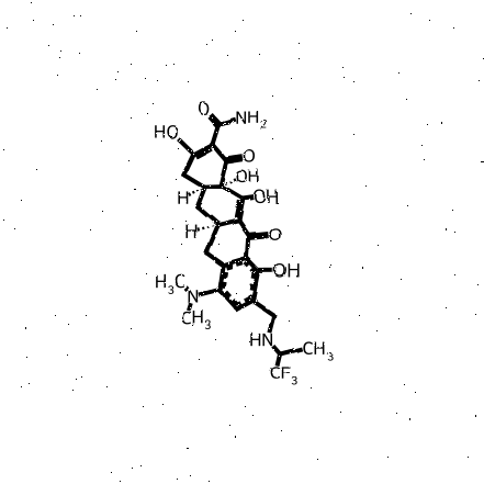 CC(NCc1cc(N(C)C)c2c(c1O)C(=O)C1=C(O)[C@]3(O)C(=O)C(C(N)=O)=C(O)C[C@@H]3C[C@@H]1C2)C(F)(F)F